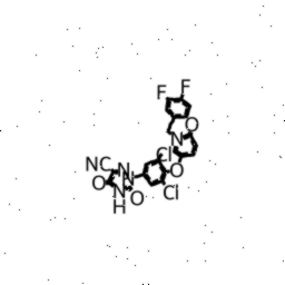 N#Cc1nn(-c2cc(Cl)c(Oc3ccc(=O)n(Cc4ccc(F)c(F)c4)c3)c(Cl)c2)c(=O)[nH]c1=O